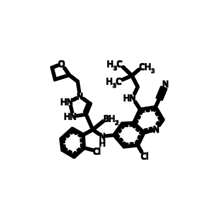 BC(Nc1cc(Cl)c2ncc(C#N)c(NCC(C)(C)C)c2c1)(C1=CN(CC2CCO2)NN1)c1ccccc1Cl